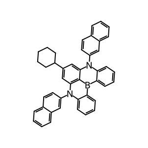 c1ccc2c(c1)B1c3ccccc3N(c3ccc4ccccc4c3)c3cc(C4CCCCC4)cc(c31)N2c1ccc2ccccc2c1